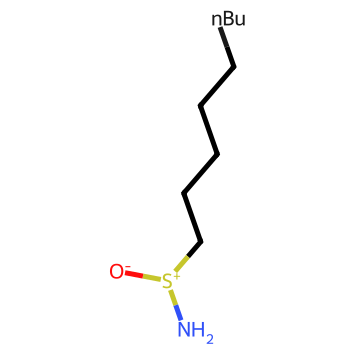 CCCCCCCCC[S+](N)[O-]